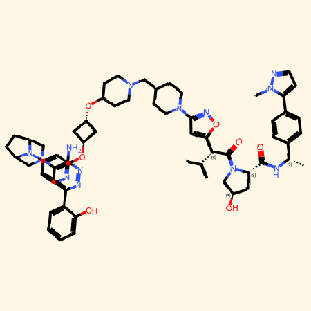 CC(C)[C@@H](C(=O)N1C[C@H](O)C[C@H]1C(=O)N[C@@H](C)c1ccc(-c2ccnn2C)cc1)c1cc(N2CCC(CN3CCC(O[C@H]4C[C@H](Oc5cc(N6C7CCC6CN(c6cc(-c8ccccc8O)nnc6N)C7)ccn5)C4)CC3)CC2)no1